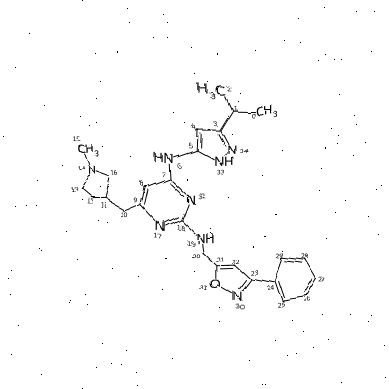 CC(C)c1cc(Nc2cc(CC3CCN(C)C3)nc(NCc3cc(-c4ccccc4)no3)n2)[nH]n1